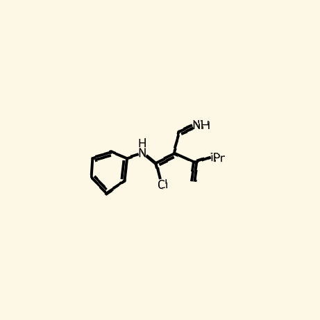 C=C(/C(C=N)=C(\Cl)Nc1ccccc1)C(C)C